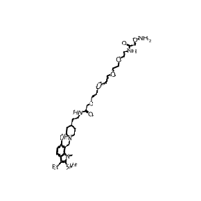 CCc1c(SC)n(C)c2c(CN3CCC(CCNC(=O)COCCOCCOCCOCCNC(=O)CON)CC3)c(O)ccc12